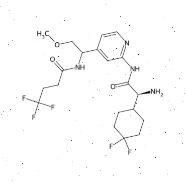 COCC(NC(=O)CCC(F)(F)F)c1ccnc(NC(=O)[C@@H](N)C2CCC(F)(F)CC2)c1